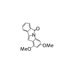 COc1cc(OC)c2cc3n(c2c1)C(=O)c1ccccc1-3